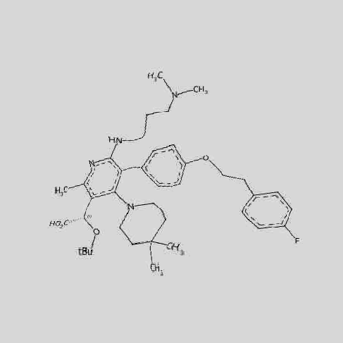 Cc1nc(NCCCN(C)C)c(-c2ccc(OCCc3ccc(F)cc3)cc2)c(N2CCC(C)(C)CC2)c1[C@H](OC(C)(C)C)C(=O)O